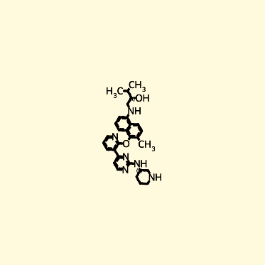 Cc1ccc2c(NC[C@H](O)C(C)C)cccc2c1Oc1ncccc1-c1ccnc(N[C@H]2CCCNC2)n1